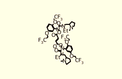 CCN(CC1CCCN1C)C(=O)N(OC(=O)/C=C/C(=O)ON(C(=O)N(CC)CC1CCCN1C)c1cc(OCC(F)(F)F)ccc1OCC(F)(F)F)c1cc(OCC(F)(F)F)ccc1OCC(F)(F)F